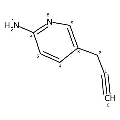 C#CCc1ccc(N)nc1